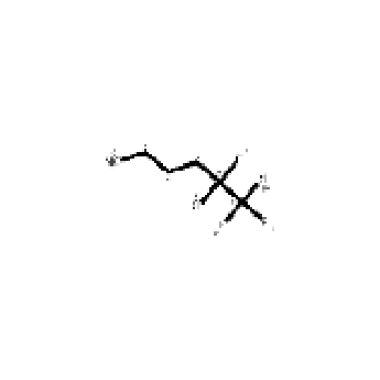 N#CCCCC(F)(Cl)C(F)(F)Cl